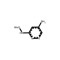 CONc1cc(N)cnn1